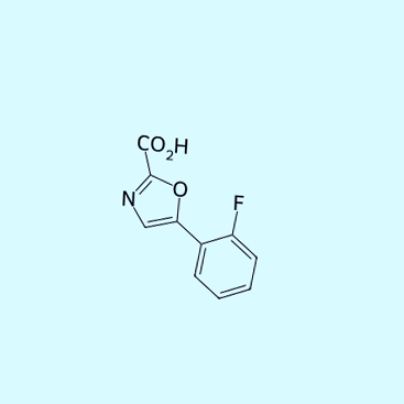 O=C(O)c1ncc(-c2ccccc2F)o1